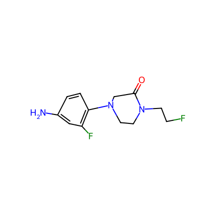 Nc1ccc(N2CCN(CCF)C(=O)C2)c(F)c1